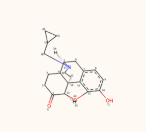 O=C1CCC2[C@H]3Cc4ccc(O)c5c4[C@@]2(CCN3CC2CC2)[C@H]1O5